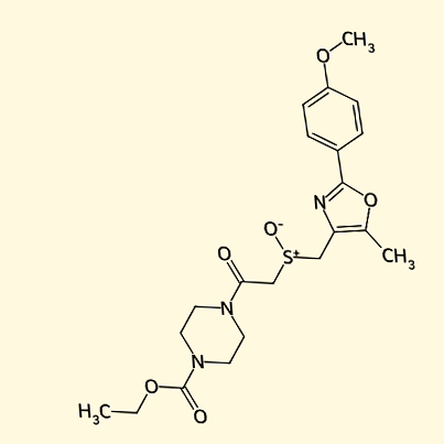 CCOC(=O)N1CCN(C(=O)C[S+]([O-])Cc2nc(-c3ccc(OC)cc3)oc2C)CC1